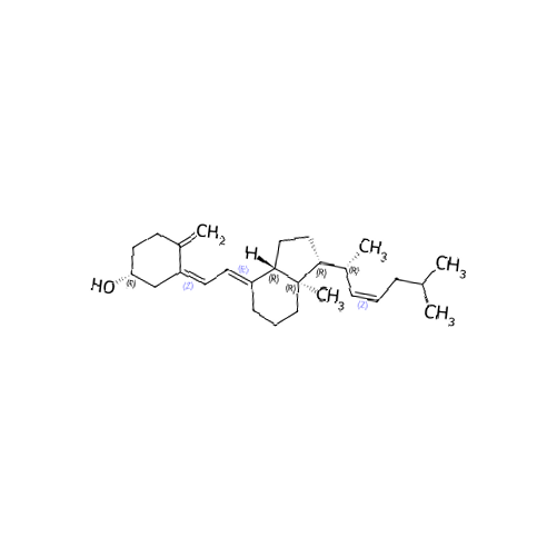 C=C1CC[C@@H](O)C/C1=C/C=C1\CCC[C@]2(C)[C@@H]([C@H](C)/C=C\CC(C)C)CC[C@@H]12